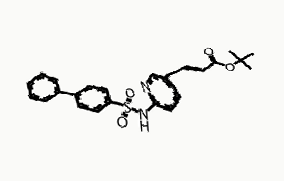 CC(C)(C)OC(=O)C=Cc1ccc(NS(=O)(=O)c2ccc(-c3ccccc3)cc2)nc1